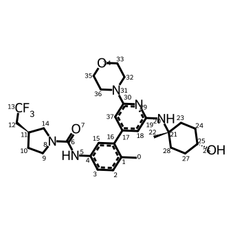 Cc1ccc(NC(=O)N2CC[C@@H](CC(F)(F)F)C2)cc1-c1cc(N[C@]2(C)CC[C@H](O)CC2)nc(N2CCOCC2)c1